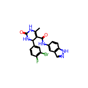 CC1=C(C(=O)Nc2ccc3[nH]ncc3c2)C(c2ccc(F)c(Br)c2)NC(=O)N1